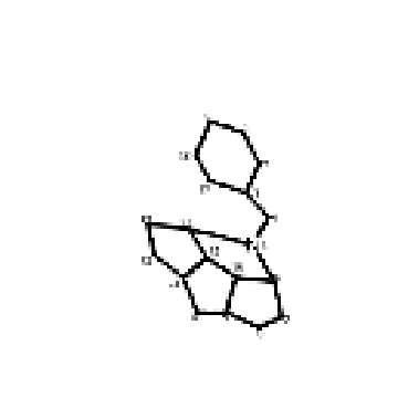 C1CCC(CN2C3CCC4CC5CCC2C5C43)CC1